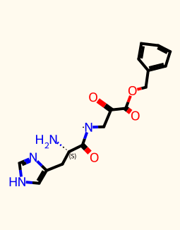 N[C@@H](Cc1c[nH]cn1)C(=O)[N]CC(=O)C(=O)OCc1ccccc1